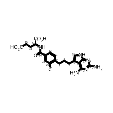 Nc1nc(N)c2c(CCCc3ccc(C(=O)N[C@@H](CCC(=O)O)C(=O)O)cc3Cl)c[nH]c2n1